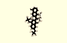 C=Nc1c2cccc(C)c2cc2oc3c(CC(C)(C)C)c4ccc(CC(C)(C)C)cc4c(C)c3c(=[N+](C)C)c12